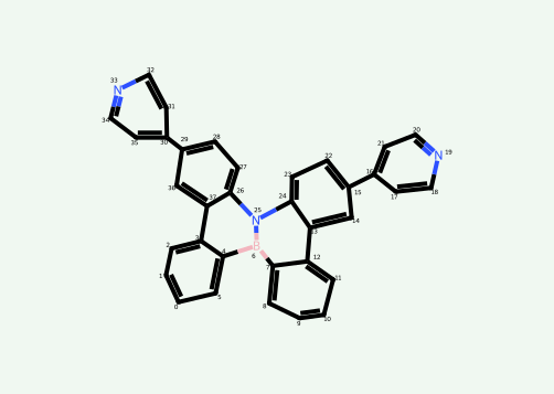 c1ccc2c(c1)B1c3ccccc3-c3cc(-c4ccncc4)ccc3N1c1ccc(-c3ccncc3)cc1-2